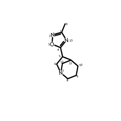 Cc1noc(C2CN3CCCC2C3)n1